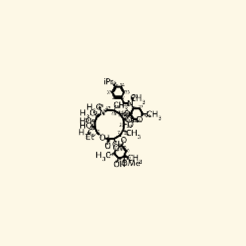 CC[C@H]1OC(=O)[C@H](C)[C@@H](OC2C[C@@](C)(OC)[C@@H](O)[C@H](C)O2)[C@H](C)[C@@H](O[C@@H]2O[C@H](C)C[C@H](N(C)Cc3ccc(C(C)C)cc3)[C@H]2O)[C@](C)(O)C[C@@H](C)CN(C)[C@H](C)[C@@H](O)[C@]1(C)O